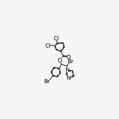 O=C(OC(c1ccc(Br)cc1)C(Br)n1ccnc1)c1ccc(Cl)c(Cl)c1